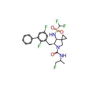 CC(CF)NC(=O)N1CC2(CC2)[C@H](NS(=O)(=O)C(F)F)[C@@H]1Cc1cc(F)cc(-c2ccccc2)c1F